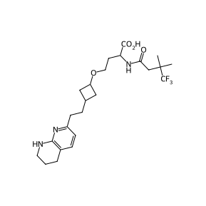 CC(C)(CC(=O)NC(CCOC1CC(CCc2ccc3c(n2)NCCC3)C1)C(=O)O)C(F)(F)F